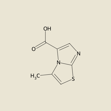 Cc1csc2ncc(C(=O)O)n12